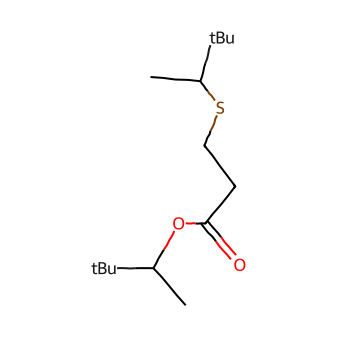 CC(OC(=O)CCSC(C)C(C)(C)C)C(C)(C)C